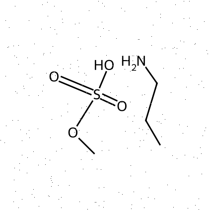 CCCN.COS(=O)(=O)O